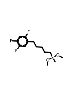 CO[Si](C)(CCCCCc1cc(F)c(F)cc1F)OC